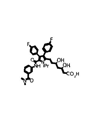 CC(C)n1c(CC[C@@H](O)C[C@@H](O)CC(=O)O)c(-c2ccc(F)cc2)c(-c2ccc(F)cc2)c1C(=O)Nc1cccc(C(=O)N(C)C)c1